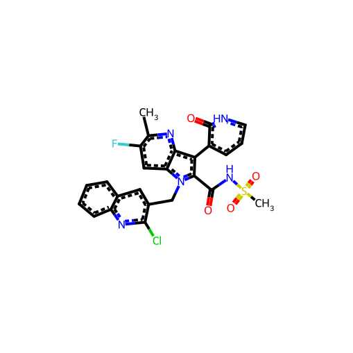 Cc1nc2c(-c3ccc[nH]c3=O)c(C(=O)NS(C)(=O)=O)n(Cc3cc4ccccc4nc3Cl)c2cc1F